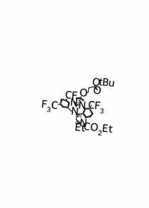 CCOC(=O)N1c2ccc(C(F)(F)F)cc2[C@@H](N(Cc2cc(C(F)(F)F)cc(C(F)(F)F)c2)c2ncc(OCCC(=O)OC(C)(C)C)cn2)C[C@H]1CC